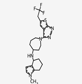 Cn1ccc2c1CCCC2NC1CCCN(c2ncnc3sc(CC(F)(F)F)cc23)CC1